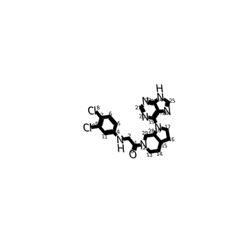 O=C(CNc1ccc(Cl)c(Cl)c1)N1CCC2CCN(c3ncnc4[nH]cnc34)C2C1